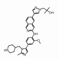 COc1cc(-c2cnc(C)n2CC2CCNCC2)ccc1Nc1cc2cc(-c3cnn(CC(C)(C)O)c3)ccc2cn1